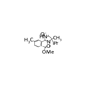 COC(=O)c1ccc(C)cc1C1=NC(C)(C(C)C)C[NH+]1[O-]